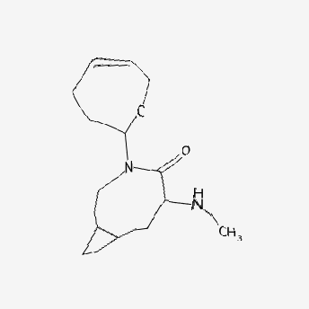 CNC1CC2CC2CN(C2CCC=CCC2)C1=O